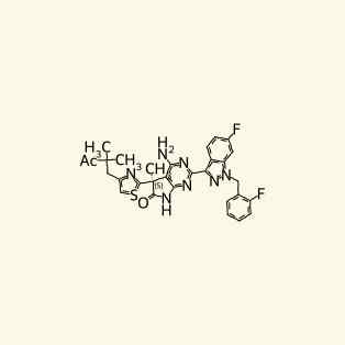 CC(=O)C(C)(C)Cc1csc([C@]2(C)C(=O)Nc3nc(-c4nn(Cc5ccccc5F)c5cc(F)ccc45)nc(N)c32)n1